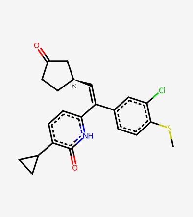 CSc1ccc(C(=C[C@H]2CCC(=O)C2)c2ccc(C3CC3)c(=O)[nH]2)cc1Cl